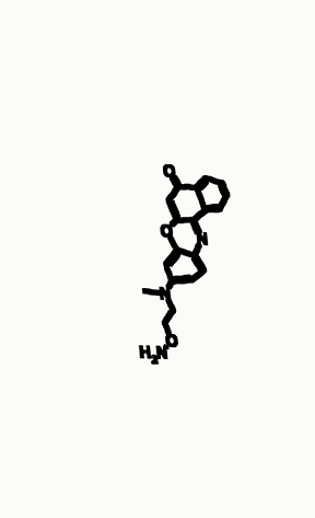 CN(CCON)c1ccc2nc3c4ccccc4c(=O)cc-3oc2c1